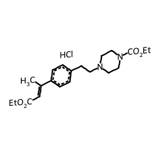 CCOC(=O)C=C(C)c1ccc(CCN2CCN(C(=O)OCC)CC2)cc1.Cl